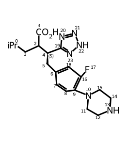 CC(C)CC(C(=O)O)[C@H](Cc1ccc(N2CCNCC2)c(F)c1)c1nn[nH]n1